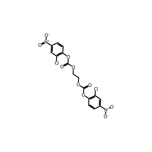 O=C(OCCOC(=O)Oc1ccc([N+](=O)[O-])cc1Cl)Oc1ccc([N+](=O)[O-])cc1Cl